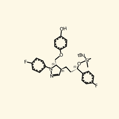 CC(C)(C)[Si](C)(C)O[C@@H](CC[C@H]1C=NN(c2ccc(F)cc2)[C@@H]1COc1ccc(O)cc1)c1ccc(F)cc1